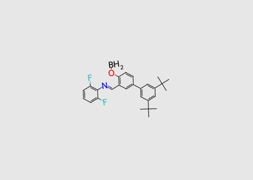 BOc1ccc(-c2cc(C(C)(C)C)cc(C(C)(C)C)c2)cc1/C=N/c1c(F)cccc1F